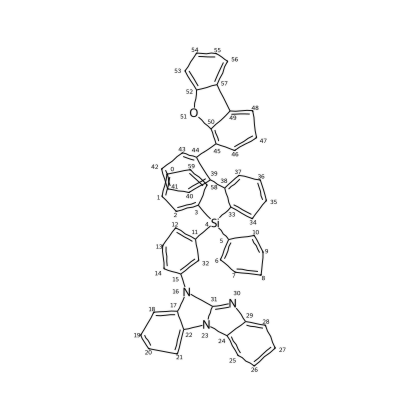 c1ccc([Si](c2ccccc2)(c2cccc(-n3c4ccccc4n4c5ccccc5nc34)c2)c2ccccc2-c2ccccc2-c2cccc3c2oc2ccccc23)cc1